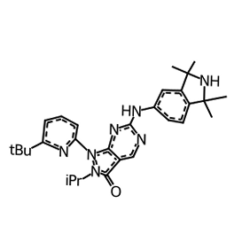 CC(C)n1c(=O)c2cnc(Nc3ccc4c(c3)C(C)(C)NC4(C)C)nc2n1-c1cccc(C(C)(C)C)n1